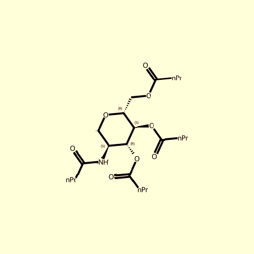 CCCC(=O)N[C@H]1[CH]O[C@H](COC(=O)CCC)[C@@H](OC(=O)CCC)[C@@H]1OC(=O)CCC